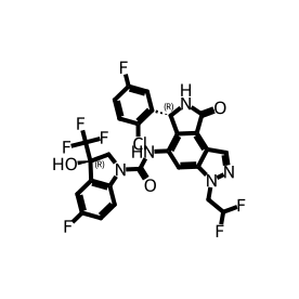 O=C1N[C@@H](c2cc(F)ccc2Cl)c2c(NC(=O)N3C[C@@](O)(C(F)(F)F)c4cc(F)ccc43)cc3c(cnn3CC(F)F)c21